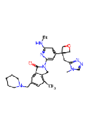 CCNc1cc(C2(Cc3nncn3C)COC2)cc(N2Cc3c(cc(CN4CCCCC4)cc3C(F)(F)F)C2=O)n1